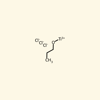 CCC[O][Ti+3].[Cl-].[Cl-].[Cl-]